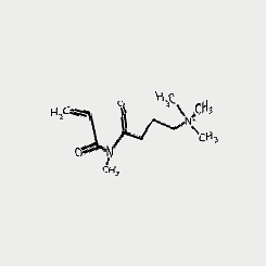 C=CC(=O)N(C)C(=O)CCC[N+](C)(C)C